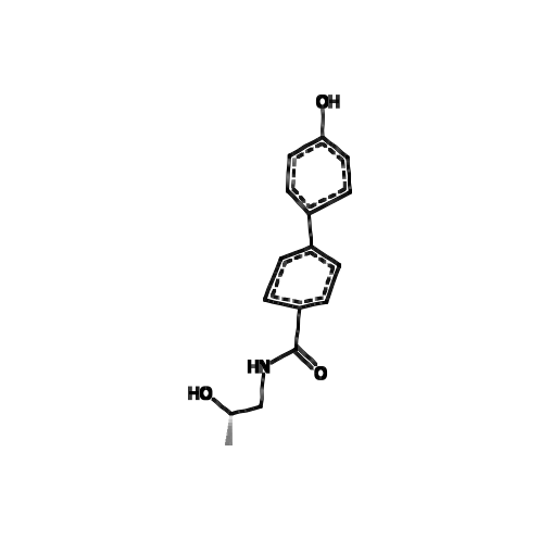 C[C@H](O)CNC(=O)c1ccc(-c2ccc(O)cc2)cc1